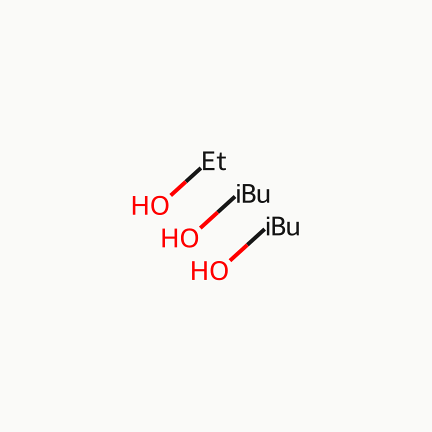 CCC(C)O.CCC(C)O.CCO